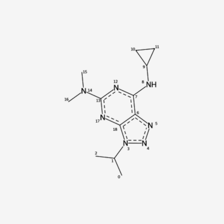 CC(C)n1nnc2c(NC3CC3)nc(N(C)C)nc21